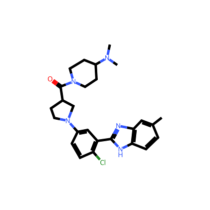 Cc1ccc2[nH]c(-c3cc(N4CCC(C(=O)N5CCC(N(C)C)CC5)C4)ccc3Cl)nc2c1